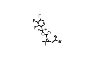 CC1(C)C(C=C(Br)Br)C1C(=O)OC(F)(F)c1ccc(F)c(F)c1F